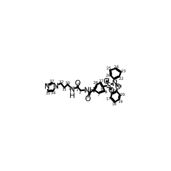 O=C(CNC(=O)c1ccc(S(=O)(=O)N(Oc2ccccc2)c2ccccc2)cc1)NCCCn1ccnc1